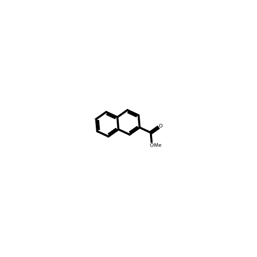 COC(=O)c1ccc2c[c]ccc2c1